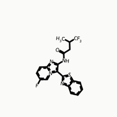 CC(CC(=O)Nc1nc2ccc(F)cn2c1-c1nc2ccccc2s1)C(F)(F)F